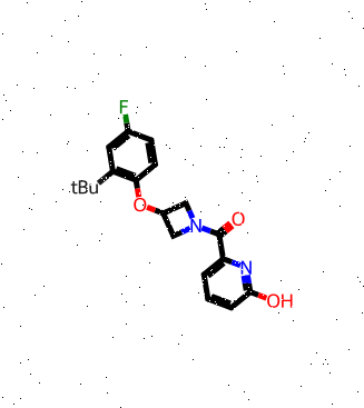 CC(C)(C)c1cc(F)ccc1OC1CN(C(=O)c2cccc(O)n2)C1